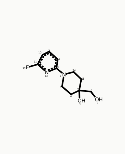 OCC1(O)CCN(c2cccc(F)n2)CC1